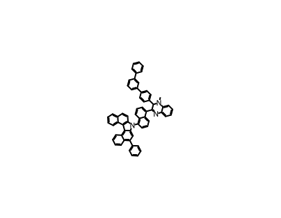 CN1c2ccccc2N=C(c2cccc3c(-n4c5ccc6ccccc6c5c5c6ccccc6c(-c6ccccc6)cc54)cccc23)C1c1ccc(-c2cccc(-c3ccccc3)c2)cc1